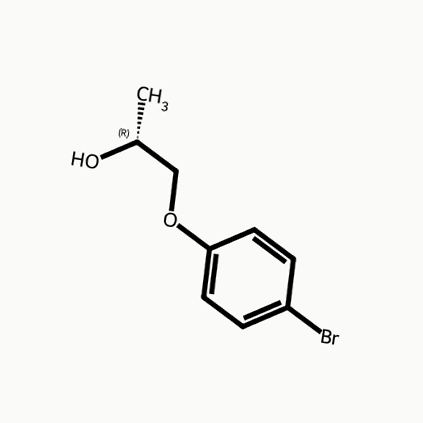 C[C@@H](O)COc1ccc(Br)cc1